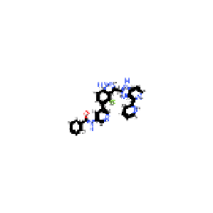 O=C(Nc1cncc(-c2ccc3[nH]nc(-c4nc5c(-c6ccccn6)nccc5[nH]4)c3c2F)c1)C1CCCCC1